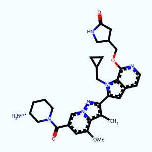 COc1cc(C(=O)N2CCC[C@@H](N)C2)cn2nc(-c3cc4ccnc(OCC5CNC(=O)C5)c4n3CC3CC3)c(C)c12